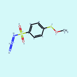 COSc1ccc(S(=O)(=O)N=[N+]=[N-])cc1